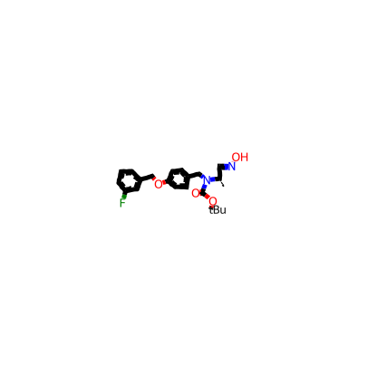 C[C@@H](/C=N/O)N(Cc1ccc(OCc2cccc(F)c2)cc1)C(=O)OC(C)(C)C